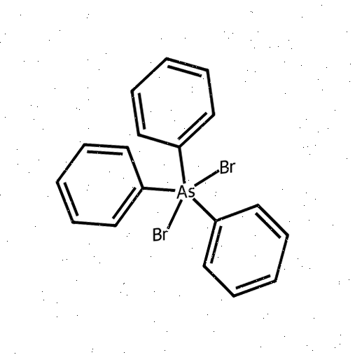 Br[As](Br)(c1ccccc1)(c1ccccc1)c1ccccc1